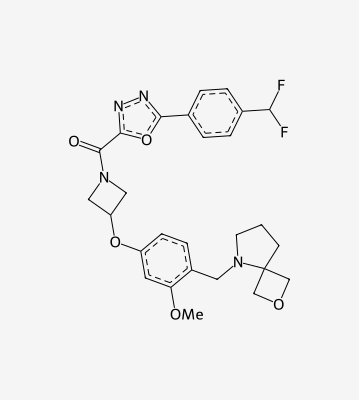 COc1cc(OC2CN(C(=O)c3nnc(-c4ccc(C(F)F)cc4)o3)C2)ccc1CN1CCCC12COC2